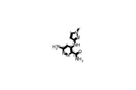 Cn1ccc(Nc2cc(N)nnc2C(N)=O)n1